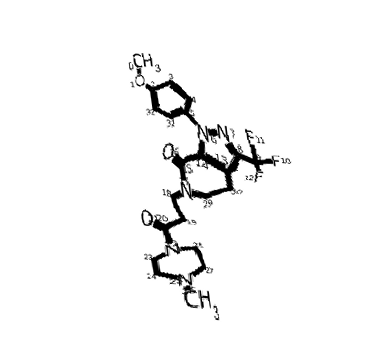 COc1ccc(-n2nc(C(F)(F)F)c3c2C(=O)N(CCC(=O)N2CCN(C)CC2)CC3)cc1